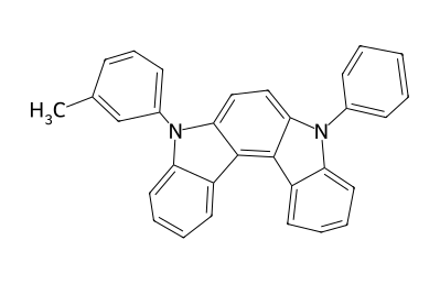 Cc1cccc(-n2c3ccccc3c3c4c5ccccc5n(-c5ccccc5)c4ccc32)c1